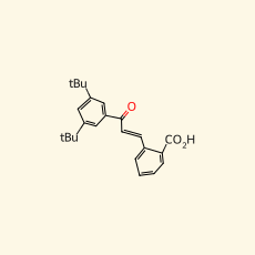 CC(C)(C)c1cc(C(=O)C=Cc2ccccc2C(=O)O)cc(C(C)(C)C)c1